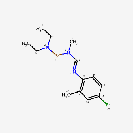 CCN(CC)SN(C)/C=N/c1ccc(Br)cc1C